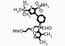 COCCOC[N+](C=O)(c1cccc(-c2cc([Si](C)(C)C)sc2S(N)(=O)=O)c1)c1onc(C)c1C